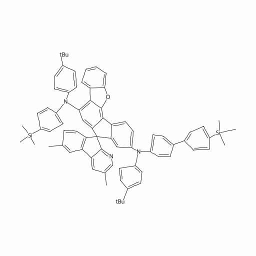 Cc1ccc2c(c1)-c1cc(C)cnc1C21c2cc(N(c3ccc(-c4ccc([Si](C)(C)C)cc4)cc3)c3ccc(C(C)(C)C)cc3)ccc2-c2c1cc(N(c1ccc(C(C)(C)C)cc1)c1ccc([Si](C)(C)C)cc1)c1c2oc2ccccc21